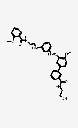 COc1ccc(-c2cccc(C(=O)NCCO)c2)cc1SNc1cccc(NCCNC(=O)c2ccccc2OC)c1